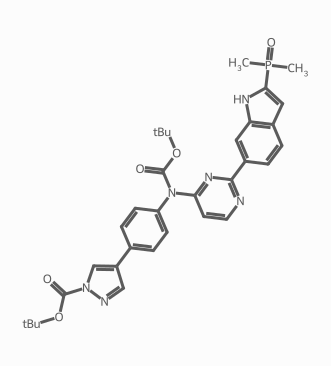 CC(C)(C)OC(=O)N(c1ccc(-c2cnn(C(=O)OC(C)(C)C)c2)cc1)c1ccnc(-c2ccc3cc(P(C)(C)=O)[nH]c3c2)n1